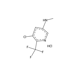 CNc1cnc(C(F)(F)F)c(Cl)c1.Cl